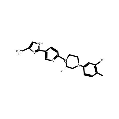 Cc1ccc(N2CCN(c3ccc(-c4nc(C(F)(F)F)c[nH]4)cn3)[C@@H](C)C2)cc1F